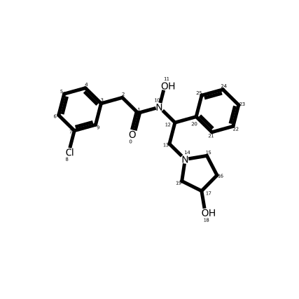 O=C(Cc1cccc(Cl)c1)N(O)C(CN1CCC(O)C1)c1ccccc1